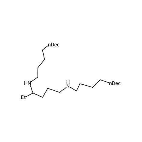 [CH2]CC(CCCNCCCCCCCCCCCCCC)NCCCCCCCCCCCCCC